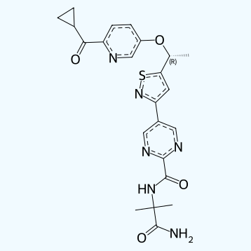 C[C@@H](Oc1ccc(C(=O)C2CC2)nc1)c1cc(-c2cnc(C(=O)NC(C)(C)C(N)=O)nc2)ns1